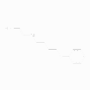 C/[C]=C/NCCCCSc1ccccc1